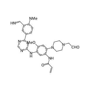 C=CC(=O)Nc1cc(Nc2cc(-c3ccc(NC)c(C=N)c3)ncn2)c(OC)cc1N1CCN(CC=O)CC1